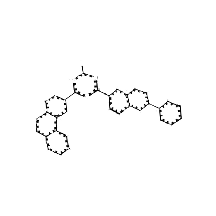 Clc1nc(-c2ccc3cc(-c4ccccc4)ccc3c2)nc(-c2ccc3ccc4ccccc4c3c2)n1